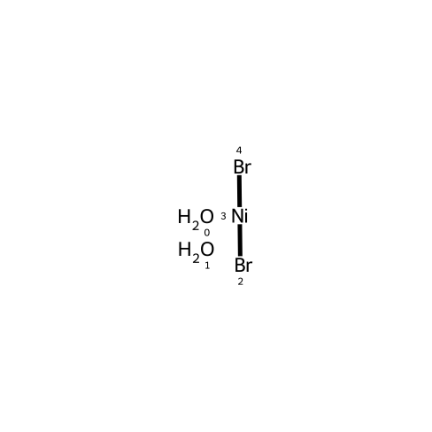 O.O.[Br][Ni][Br]